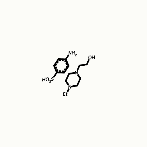 CCN1CCN(CCO)CC1.Nc1ccc(S(=O)(=O)O)cc1